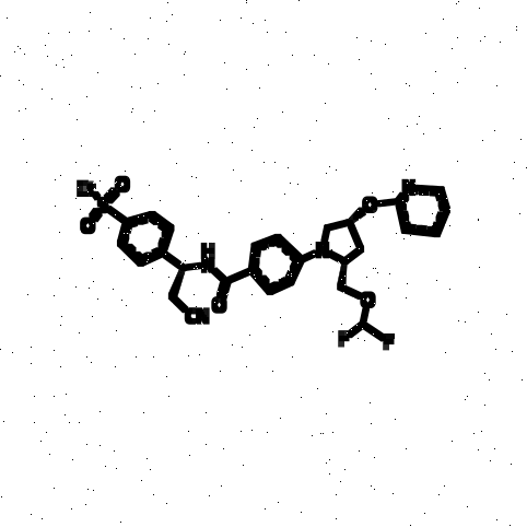 CCS(=O)(=O)c1ccc([C@H](CC#N)NC(=O)c2ccc(N3C[C@@H](Oc4ccccn4)C[C@H]3COC(F)F)cc2)cc1